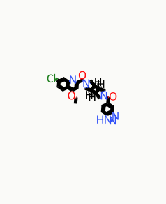 CCOc1cc(C(=O)N2C[C@@H]3[C@H]4CN(C(=O)c5ccc6[nH]nnc6c5)C[C@H]4[C@@H]3C2)nc2cc(Cl)ccc12